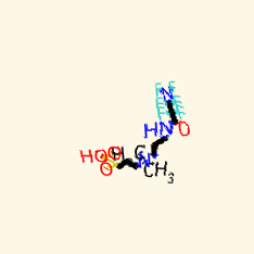 C[N+](C)(CCCNC(=O)C(F)(F)C(F)(F)N(F)F)CCCS(=O)(=O)O